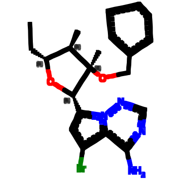 CC[C@H]1O[C@@H](c2cc(Br)c3c(N)ncnn23)[C@](C)(OCc2ccccc2)[C@@H]1C